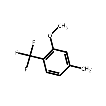 [CH2]c1ccc(C(F)(F)F)c(OC)c1